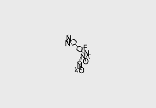 Cn1cnc2cc(-c3ccc(C4=NC(C)(C)C(=O)N4CC4CN(C(=O)C5(C)CC5)C4)c(F)c3)ccc21